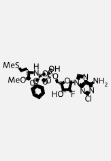 COC(=O)[C@H](CCSC)NP(=O)(Oc1ccccc1)OP(=O)(O)OC[C@H]1O[C@@H](n2cnc3c(N)nc(Cl)nc32)C(F)[C@H]1O